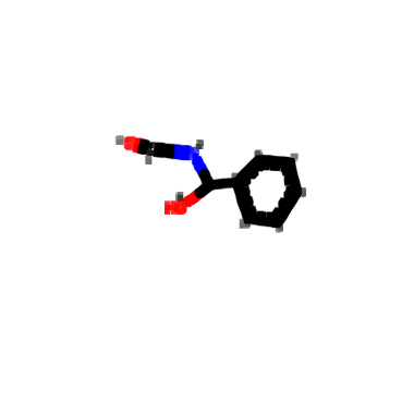 O=C=NC(O)c1ccccc1